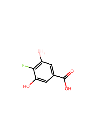 Bc1cc(C(=O)O)cc(O)c1F